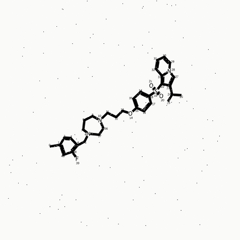 Cc1ccc(CN2CCCN(CCCOc3ccc(S(=O)(=O)c4c(C(C)C)cn5ccccc45)cc3)CC2)c(F)c1